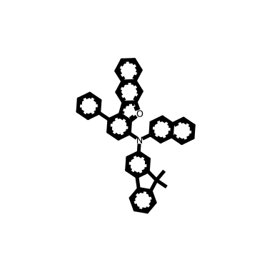 CC1(C)c2ccccc2-c2ccc(N(c3ccc4ccccc4c3)c3ccc(-c4ccccc4)c4c3oc3cc5ccccc5cc34)cc21